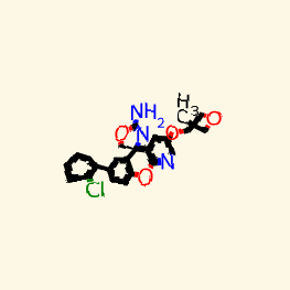 CC1(COc2cnc3c(c2)[C@]2(COC(N)=N2)c2cc(-c4ccccc4Cl)ccc2O3)COC1